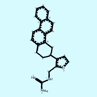 CNC(=N)NCc1occc1C1CCc2ccc3c(ccc4ccccc43)c2C1